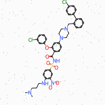 CN(C)CCCNc1ccc(S(=O)(=O)NC(=O)c2ccc(N3CCN(Cc4ccccc4-c4ccc(Cl)cc4)CC3)cc2Oc2cccc(Cl)c2)cc1[N+](=O)[O-]